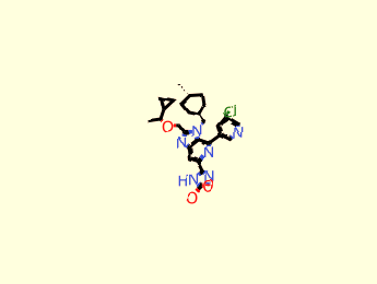 CC(OCc1nc2cc(-c3noc(=O)[nH]3)nc(-c3cncc(Cl)c3)c2n1C[C@H]1CC[C@H](C)CC1)C1CC1